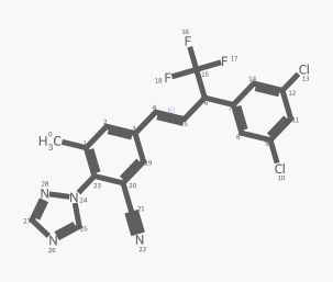 Cc1cc(/C=C/C(c2cc(Cl)cc(Cl)c2)C(F)(F)F)cc(C#N)c1-n1cncn1